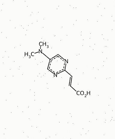 CN(C)c1cnc(C=CC(=O)O)nc1